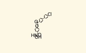 O=C(COc1ccc(C(=O)NO)cc1)c1ccc(-c2ccc(Cl)cc2)cc1